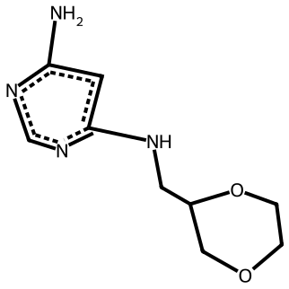 Nc1cc(NCC2COCCO2)ncn1